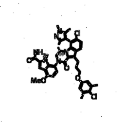 COc1ccc(N2C[C@@H](C)n3c(c(CCCOc4cc(C)c(Cl)c(C)c4)c4ccc(Cl)c(-c5c(C)nn(C)c5C)c43)C2=O)c2c1cc(C(N)=O)n2C